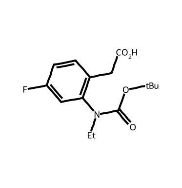 CCN(C(=O)OC(C)(C)C)c1cc(F)ccc1CC(=O)O